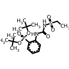 CCS(=O)(=O)NC(=O)Nc1ccccc1P(=O)(OC(C)(C)C)OC(C)(C)C